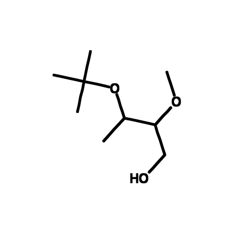 COC(CO)C(C)OC(C)(C)C